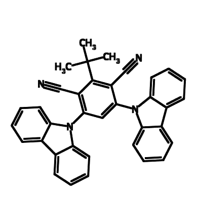 CC(C)(C)c1c(C#N)c(-n2c3ccccc3c3ccccc32)cc(-n2c3ccccc3c3ccccc32)c1C#N